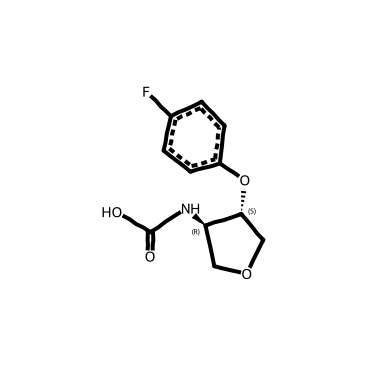 O=C(O)N[C@@H]1COC[C@H]1Oc1ccc(F)cc1